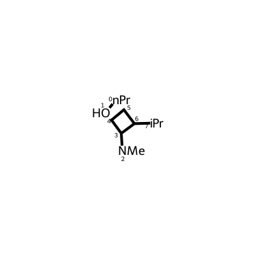 CCCO.CNC1CCC1C(C)C